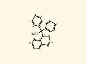 O=S(=O)(O)C(c1ccccc1)(c1ccccc1)c1cccc2ccccc12